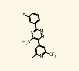 Cc1cc(-c2nnc(-c3cccc(F)c3)nc2N)cc(C(F)(F)F)n1